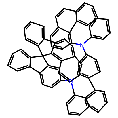 c1ccc(-c2ccc(N(c3ccccc3)c3cccc4ccc5ccccc5c34)cc2N(c2ccccc2)c2ccc3c(c2)C2(c4ccccc4-3)c3ccccc3-c3ccc4ccccc4c32)cc1